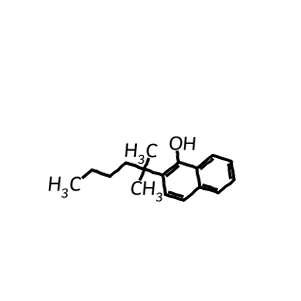 CCCCC(C)(C)c1ccc2ccccc2c1O